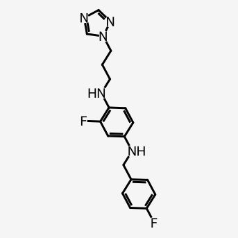 Fc1ccc(CNc2ccc(NCCCn3cncn3)c(F)c2)cc1